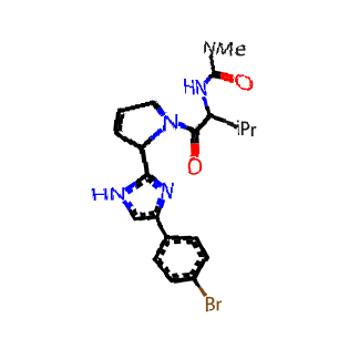 CNC(=O)NC(C(=O)N1CC=CC1c1nc(-c2ccc(Br)cc2)c[nH]1)C(C)C